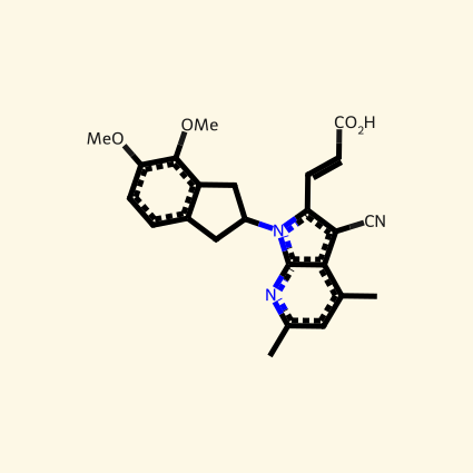 COc1ccc2c(c1OC)CC(n1c(/C=C/C(=O)O)c(C#N)c3c(C)cc(C)nc31)C2